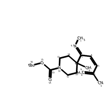 C=C(C#N)/C=C\C(=N/C)C1(O)CCN(C(=O)OC(C)(C)C)CC1